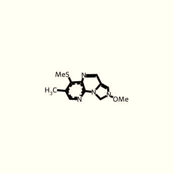 CON1C=C2C=Nc3c(ncc(C)c3SC)N2C1